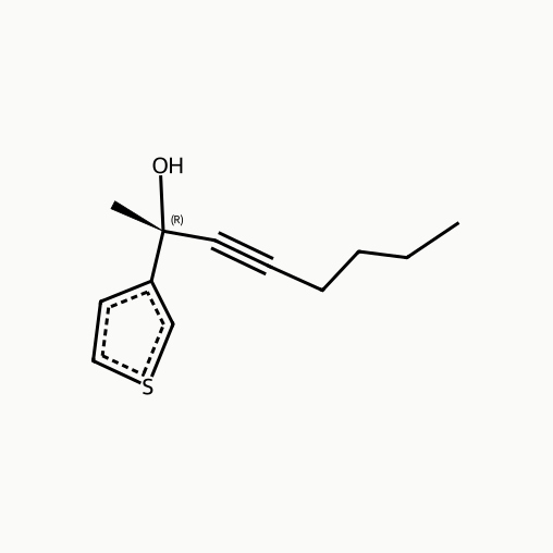 CCCCC#C[C@@](C)(O)c1ccsc1